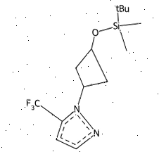 CC(C)(C)[Si](C)(C)OC1CC(n2nccc2C(F)(F)F)C1